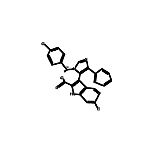 C[C@@H](c1ccc(Cl)cc1)n1cnc(-c2ccccc2)c1-c1c(C(=O)Cl)[nH]c2cc(Cl)ccc12